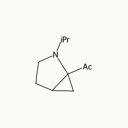 CC(=O)C12CC1CCN2C(C)C